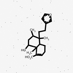 CC1CC(O)C2(C)C(C(=O)O)=CCCC2C1(C)CCc1ccoc1